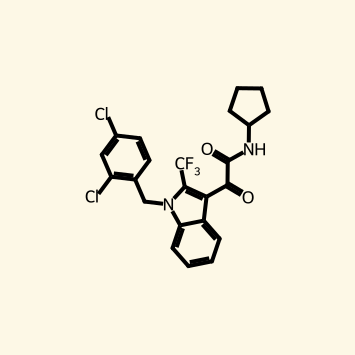 O=C(NC1CCCC1)C(=O)c1c(C(F)(F)F)n(Cc2ccc(Cl)cc2Cl)c2ccccc12